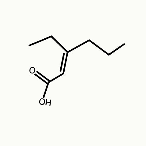 CCCC(=CC(=O)O)CC